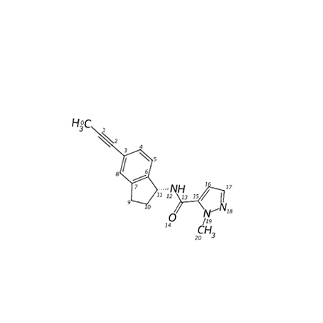 CC#Cc1ccc2c(c1)CC[C@H]2NC(=O)c1ccnn1C